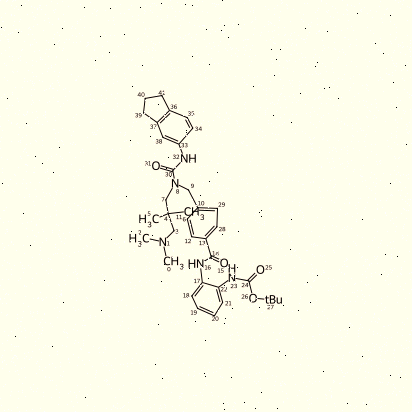 CN(C)CC(C)(C)CN(Cc1ccc(C(=O)Nc2ccccc2NC(=O)OC(C)(C)C)cc1)C(=O)Nc1ccc2c(c1)CCC2